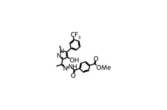 COC(=O)c1ccc(C(=O)NN=C(C)c2nn(C)c(-c3cccc(C(F)(F)F)c3)c2O)cc1